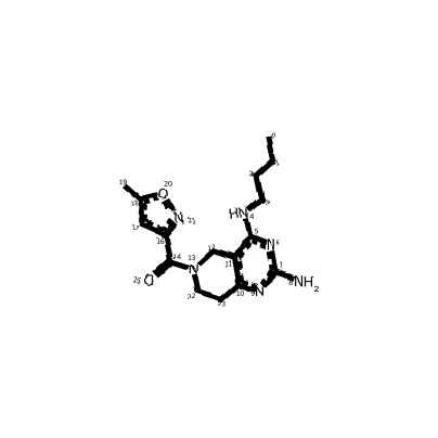 CCCCNc1nc(N)nc2c1CN(C(=O)c1cc(C)on1)CC2